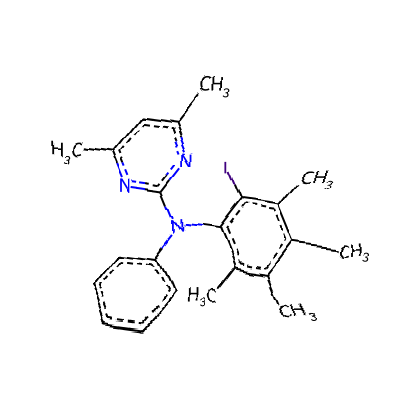 Cc1cc(C)nc(N(c2ccccc2)c2c(C)c(C)c(C)c(C)c2I)n1